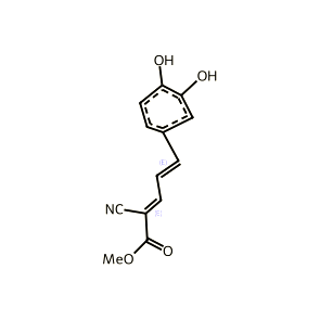 COC(=O)/C(C#N)=C/C=C/c1ccc(O)c(O)c1